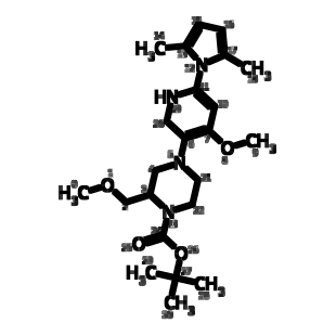 COCC1CN(C2=C(OC)C=C(n3c(C)ccc3C)NC2)CCN1C(=O)OC(C)(C)C